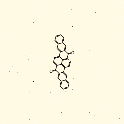 O=C1c2cc3ccccc3cc2-c2ccc3c4c(ccc1c24)-c1cc2ccccc2cc1C3=O